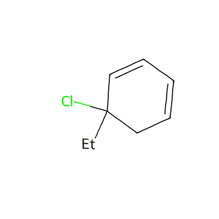 CCC1(Cl)C=CC=CC1